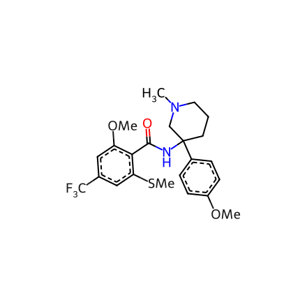 COc1ccc(C2(NC(=O)c3c(OC)cc(C(F)(F)F)cc3SC)CCCN(C)C2)cc1